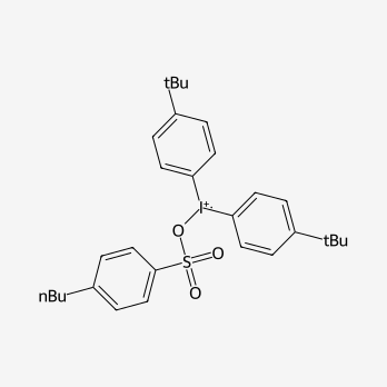 CCCCc1ccc(S(=O)(=O)O[I+](c2ccc(C(C)(C)C)cc2)c2ccc(C(C)(C)C)cc2)cc1